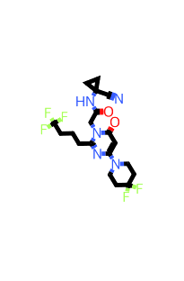 N#CC1(NC(=O)Cn2c(CCCC(F)(F)F)nc(N3CCC(F)(F)CC3)cc2=O)CC1